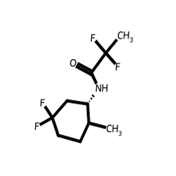 CC1CCC(F)(F)C[C@@H]1NC(=O)C(C)(F)F